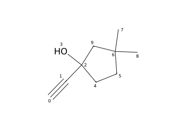 C#CC1(O)CCC(C)(C)C1